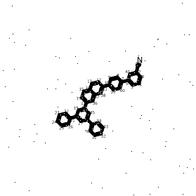 N#Cc1cccc(-c2ccc(-c3ccc4ccc(-c5cc(-c6ccccc6)cc(-c6ccccc6)c5)cc4c3)cc2)c1